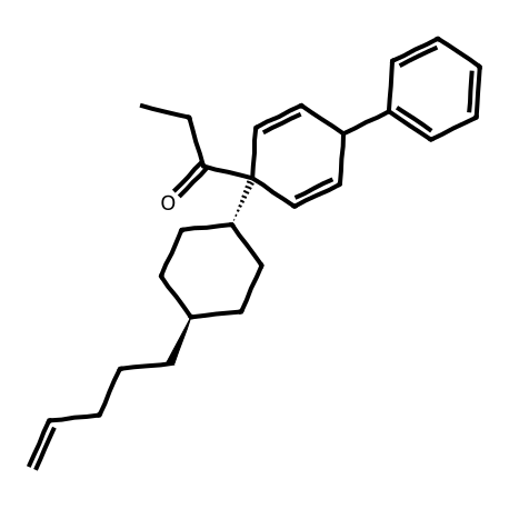 C=CCCC[C@H]1CC[C@H](C2(C(=O)CC)C=CC(c3ccccc3)C=C2)CC1